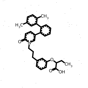 CCC(Oc1cccc(CCCn2cc(-c3ccccc3-c3cc(C)ccc3C)ccc2=O)c1)C(=O)O